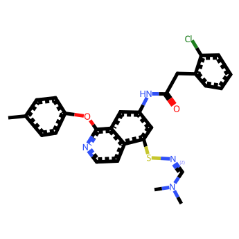 Cc1ccc(Oc2nccc3c(S/N=C\N(C)C)cc(NC(=O)Cc4ccccc4Cl)cc23)cc1